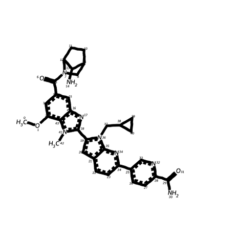 COc1cc(C(=O)N2CC3CCC2C3N)cc2nc(-c3cc4ccc(-c5ccc(C(N)=O)nc5)nc4n3CC3CC3)n(C)c12